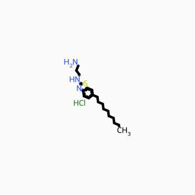 CCCCCCCCCCc1ccc2nc(NCCCN)sc2c1.Cl